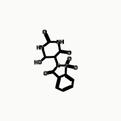 O=C1NC(=O)C(N2C(=O)c3ccccc3S2(=O)=O)C(O)N1